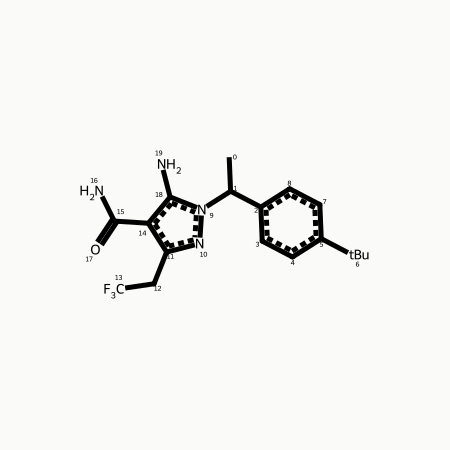 CC(c1ccc(C(C)(C)C)cc1)n1nc(CC(F)(F)F)c(C(N)=O)c1N